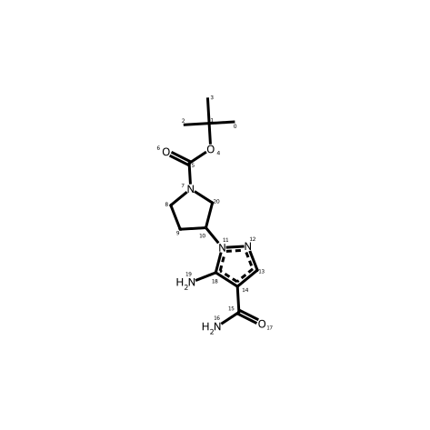 CC(C)(C)OC(=O)N1CCC(n2ncc(C(N)=O)c2N)C1